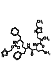 CCc1nc(CN(C)C(=O)NC(CCN)C(=O)NC(CCC(Cc2ccccc2)NC(=O)OCc2cncs2)Cc2ccccc2)cs1